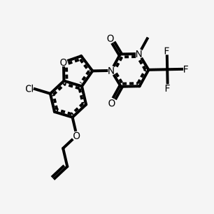 C=CCOc1cc(Cl)c2occ(-n3c(=O)cc(C(F)(F)F)n(C)c3=O)c2c1